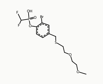 COCCOCCSCc1ccc(OP(=O)(O)C(F)F)c(Br)c1